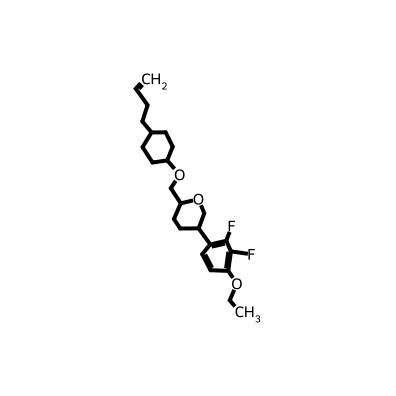 C=CCCC1CCC(OCC2CCC(c3ccc(OCC)c(F)c3F)CO2)CC1